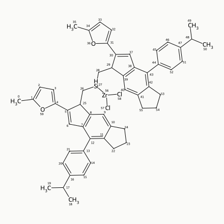 Cc1ccc(C2=Cc3c(cc4c(c3-c3ccc(C(C)C)cc3)CCC4)C2C[SiH](CC2C(c3ccc(C)o3)=Cc3c2cc2c(c3-c3ccc(C(C)C)cc3)CCC2)[Zr]([Cl])[Cl])o1